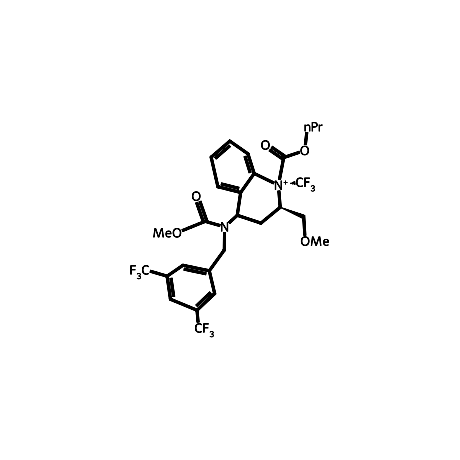 CCCOC(=O)[N@+]1(C(F)(F)F)c2ccccc2C(N(Cc2cc(C(F)(F)F)cc(C(F)(F)F)c2)C(=O)OC)C[C@@H]1COC